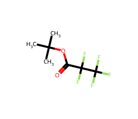 CC(C)(C)OC(=O)C(F)(F)C(F)(F)F